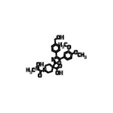 COc1ccc(-c2oc(C3(C(=O)O)CCN(C(=O)N(C)O)CC3)nc2-c2ccc(CO)cc2)cc1OC